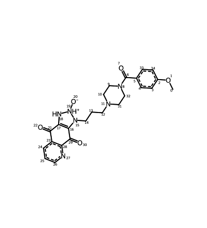 COc1ccc(C(=O)N2CCN(CCCN3C4=C(N[NH+]3[O-])C(=O)c3cccnc3C4=O)CC2)cc1